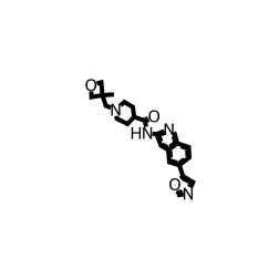 CC1(CN2CCC(C(=O)Nc3cc4cc(-c5cnco5)ccc4cn3)CC2)COC1